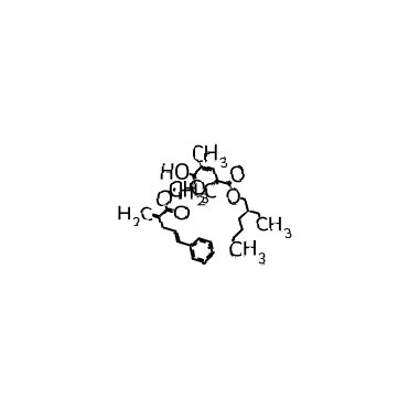 C=C(C=C(C)C(=O)O)C(=O)OCC(CC)CCCC.C=C(CC=Cc1ccccc1)C(=O)OC